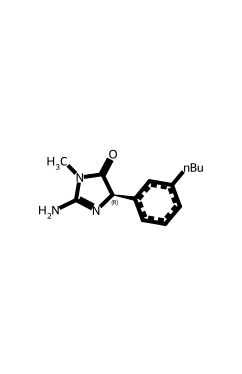 CCCCc1cccc([C@H]2N=C(N)N(C)C2=O)c1